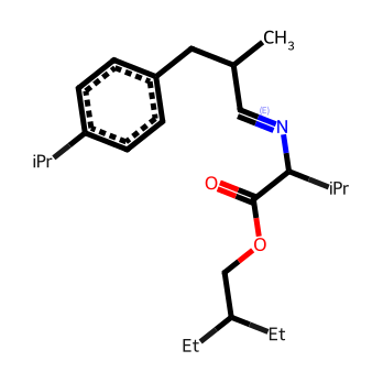 CCC(CC)COC(=O)C(/N=C/C(C)Cc1ccc(C(C)C)cc1)C(C)C